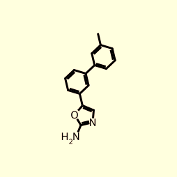 Cc1cccc(-c2cccc(-c3cnc(N)o3)c2)c1